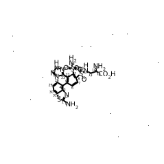 Nc1nc2c(-c3ccc(S(=O)(=O)NCC(N)C(=O)O)c(S(N)(=O)=O)c3-c3nn[nH]n3)cccc2s1